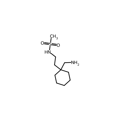 CS(=O)(=O)NCCC1(CN)CCCCC1